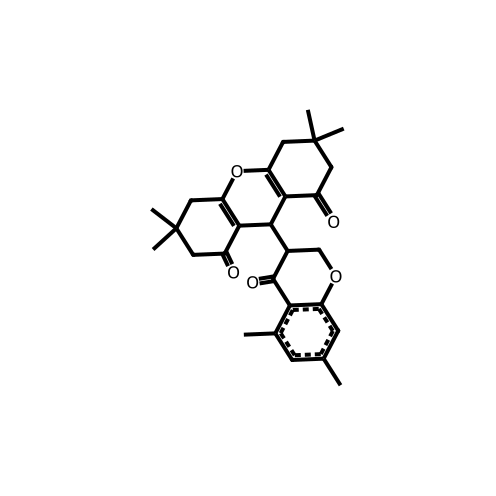 Cc1cc(C)c2c(c1)OCC(C1C3=C(CC(C)(C)CC3=O)OC3=C1C(=O)CC(C)(C)C3)C2=O